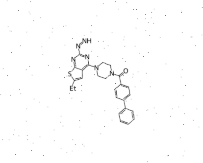 CCc1cc2c(N3CCN(C(=O)c4ccc(-c5ccccc5)cc4)CC3)nc(N=N)nc2s1